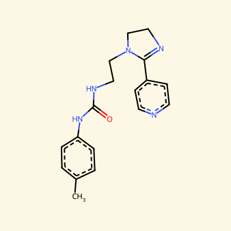 Cc1ccc(NC(=O)NCCN2CCN=C2c2ccncc2)cc1